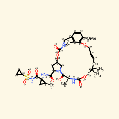 CC[C@H]1C[C@@]1(NC(=O)C1C[C@@H]2CN1C(=O)[C@H](C(C)(C)C)NC(=O)OCC(C)(C)C/C=C/COc1c(OC)ccc3c1CN(C3)C(=O)O2)C(=O)NS(=O)(=O)C1CC1